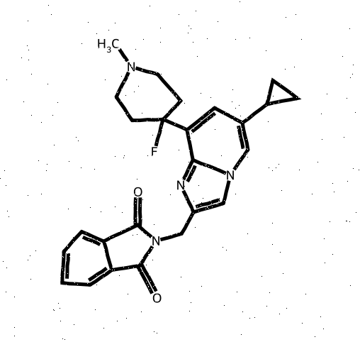 CN1CCC(F)(c2cc(C3CC3)cn3cc(CN4C(=O)c5ccccc5C4=O)nc23)CC1